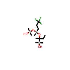 CCC(C)(O[Si](C)(CCC(F)(F)F)O[Si](C)(C)O)[Si](C)(C)O